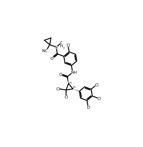 CN(C(=O)c1cc(NC(=O)[C@H]2[C@H](c3cc(Cl)c(Cl)c(Cl)c3)C2(Cl)Cl)ccc1Cl)C1(C#N)CC1